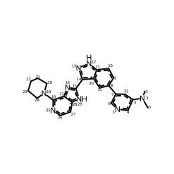 CN(C)c1cncc(-c2ccc3[nH]nc(-c4nc5c(N6CCCCC6)nccc5[nH]4)c3c2)c1